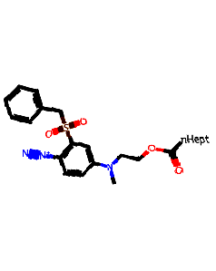 CCCCCCCC(=O)OCCN(C)c1ccc([N+]#N)c(S(=O)(=O)Cc2ccccc2)c1